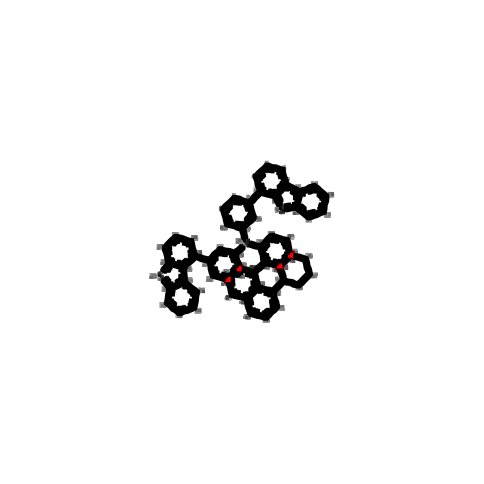 c1cc(-c2cccc3c2sc2ccccc23)cc(N(c2cccc(-c3cccc4sc5ccccc5c34)c2)c2ccccc2-c2cccc3cccc(C4CCCCC4)c23)c1